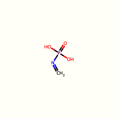 C=NP(=O)(O)O